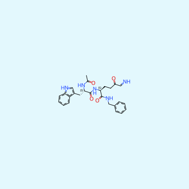 CC(=O)N[C@@H](Cc1c[nH]c2ccccc12)C(=O)N[C@@H](CCC(=O)C=N)C(=O)NCc1ccccc1